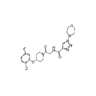 O=C(NCC(=O)N1CCC(Oc2cc(F)ccc2Cl)CC1)c1cn(N2CCOCC2)nn1